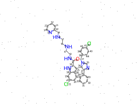 O=C(NCCNCCNCc1ccccn1)c1[nH]c2cc(Cl)ccc2c1-c1c(-c2ccccc2)ncn1Cc1ccc(Cl)cc1